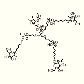 COP(=O)(O)OC1C[C@H](C)O[C@@H]1COP(=O)(O)OCC(COCCCOP(=O)(O)OCCCCCCO[C@@H]1OC(CO)[C@H](O)[C@H](O)C1C)(COCCCOP(=O)(O)OCCCCCCO[C@@H]1OC(CO)[C@H](O)[C@H](O)C1C)COCCCOP(=O)(O)OCCCCCCO[C@@H]1OC(CO)[C@H](O)[C@H](O)C1NC(C)=O